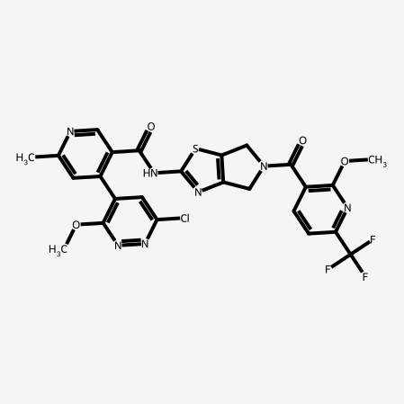 COc1nc(C(F)(F)F)ccc1C(=O)N1Cc2nc(NC(=O)c3cnc(C)cc3-c3cc(Cl)nnc3OC)sc2C1